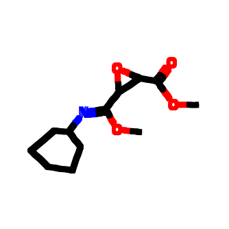 COC(=O)C1OC1C(=NC1CCCCC1)OC